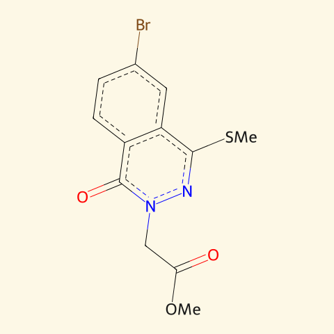 COC(=O)Cn1nc(SC)c2cc(Br)ccc2c1=O